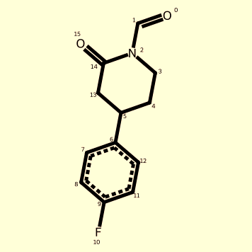 O=CN1CCC(c2ccc(F)cc2)CC1=O